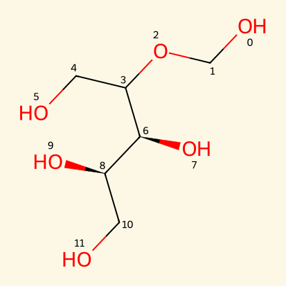 OCOC(CO)[C@@H](O)[C@H](O)CO